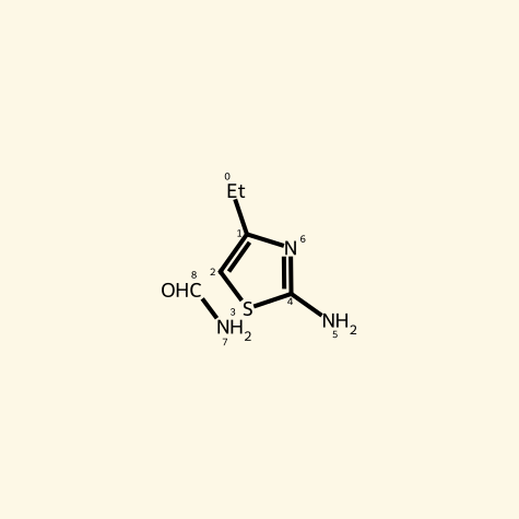 CCc1csc(N)n1.NC=O